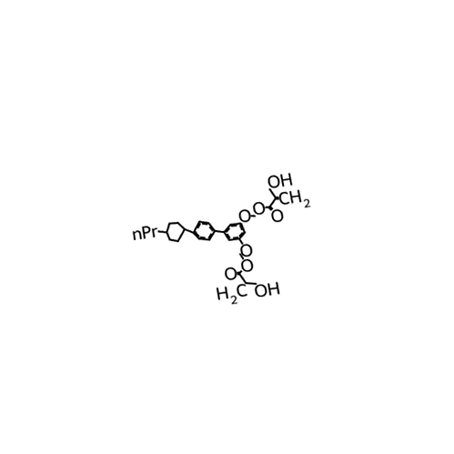 C=C(CO)C(=O)OCOc1cc(OCOC(=O)C(=C)CO)cc(-c2ccc(C3CCC(CCC)CC3)cc2)c1